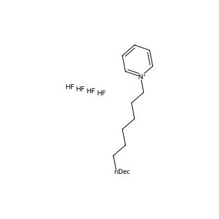 CCCCCCCCCCCCCCCC[n+]1ccccc1.F.F.F.F